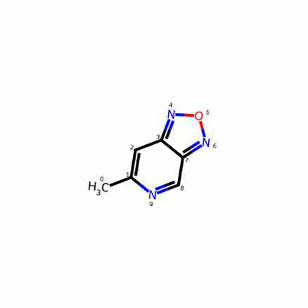 Cc1cc2nonc2cn1